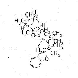 CC1(C)[C@@H]2C[C@H]3OB([C@H](CC4COc5ccccc54)N([Si](C)(C)C)[Si](C)(C)C)O[C@@]3(C)[C@H]1C2